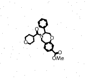 COC(=O)c1ccc2c(c1)OCC(c1ccccc1)N(C(=O)C1CCOCC1)C2